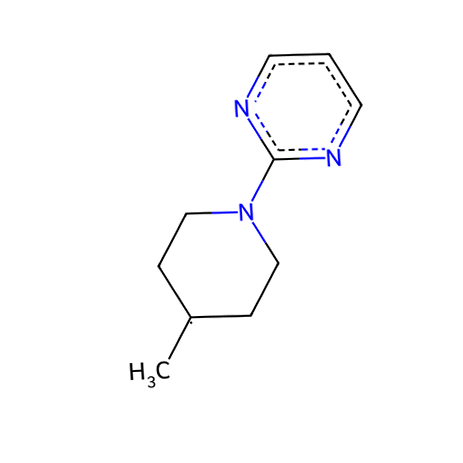 C[C]1CCN(c2ncccn2)CC1